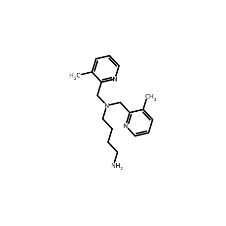 Cc1cccnc1CN(CCCCN)Cc1ncccc1C